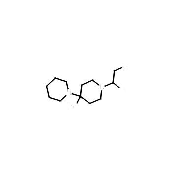 CCC(C)N1CCC(C)(N2CCCCC2)CC1